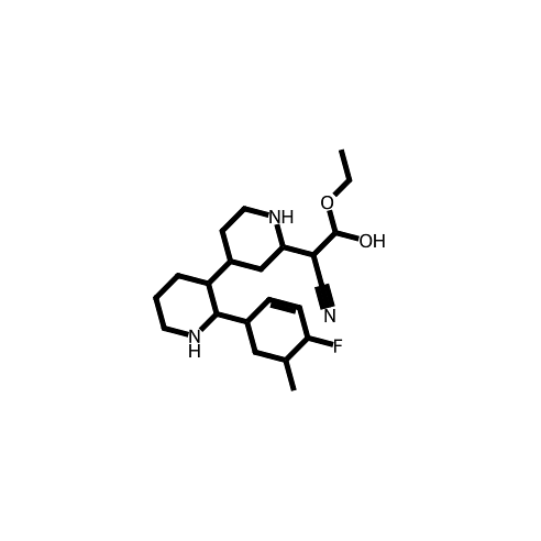 CCOC(O)C(C#N)C1CC(C2CCCNC2C2C=CC(F)C(C)C2)CCN1